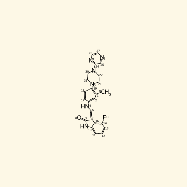 Cc1cc(NC=C2C(=O)Nc3cccc(F)c32)ccc1N1CCN(c2cnccn2)CC1